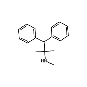 CNC(C)(C)C(c1ccccc1)c1ccccc1